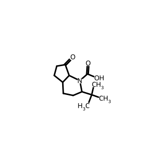 CC(C)(C)C1CCC2CCC(=O)C2N1C(=O)O